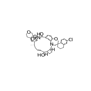 C[C@H]1C/C=C/[C@H](O)[C@@H]2CC[C@H]2CN2C[C@@]3(CCCc4cc(Cl)ccc43)COc3ccc(cc32)C(=O)NS(=O)(=O)[C@@H]1CC1CCOCC1